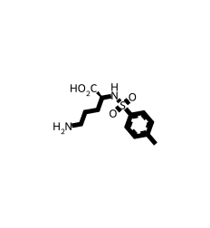 Cc1ccc(S(=O)(=O)N[C@@H](CCCN)C(=O)O)cc1